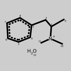 CC(Cc1ccccc1)N(C)C.O